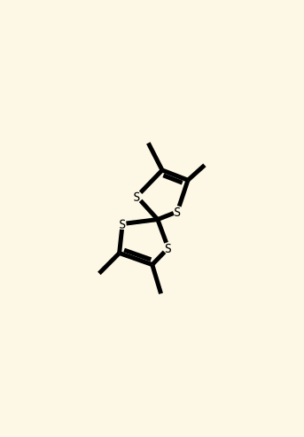 CC1=C(C)SC2(S1)SC(C)=C(C)S2